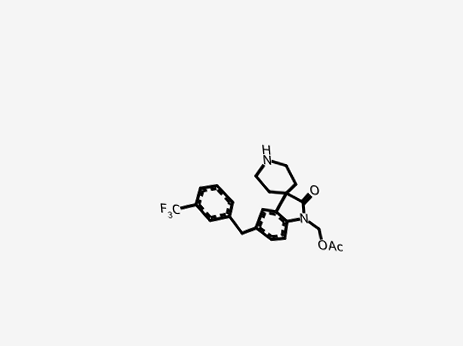 CC(=O)OCN1C(=O)C2(CCNCC2)c2cc(Cc3cccc(C(F)(F)F)c3)ccc21